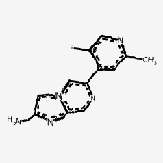 Cc1cc(-c2cn3cc(N)nc3cn2)c(F)cn1